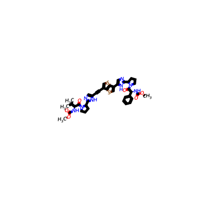 COC(=O)N[C@H](C(=O)N1CCCC1c1ncc(C#Cc2csc3c(-c4cnc(C5CCCN5C(=O)[C@H](NC(=O)OC)c5ccccc5)[nH]4)csc23)[nH]1)C(C)C